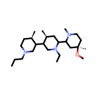 CCCN1CC[C@@H](C)C(C2CN(CC)C(C3C[C@](C)(OC)CCN3C)C[C@@H]2C)C1